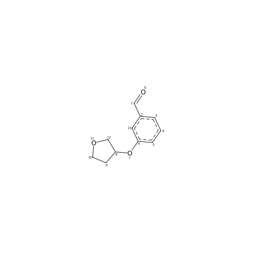 O=Cc1cccc(OC2CCOC2)c1